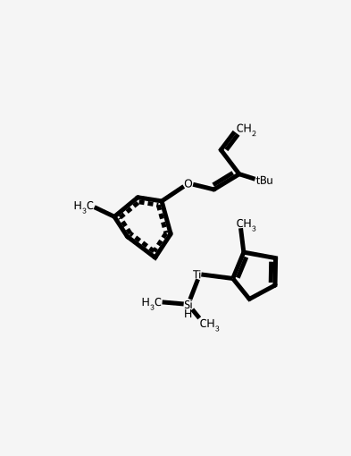 C=CC(=COc1cccc(C)c1)C(C)(C)C.CC1=[C]([Ti][SiH](C)C)CC=C1